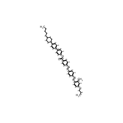 CCCCCC1CCC(c2ccc(-c3ccc(OC(=O)c4ccc(N=Nc5ccc(N=Nc6ccc(OCCC)cc6C)cc5)cc4)cc3)cc2)CC1